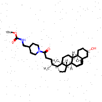 C[C@H](CCC(=O)N1CCC(CNC(=O)OC(C)(C)C)CC1)[C@H]1CC[C@H]2[C@@H]3CC=C4C[C@@H](O)CC[C@]4(C)[C@H]3CC[C@]12C